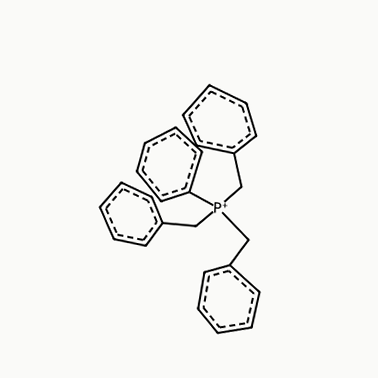 c1ccc(C[P+](Cc2ccccc2)(Cc2ccccc2)c2ccccc2)cc1